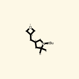 CC(C)(C)N1CC(CC2COC2)CC1(C)C